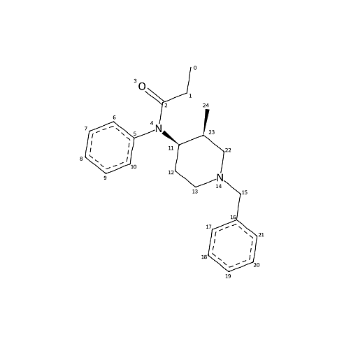 CCC(=O)N(c1ccccc1)[C@@H]1CCN(Cc2ccccc2)C[C@@H]1C